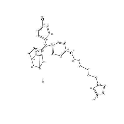 C[n+]1ccn(CCCCCCOc2ccc(C(=C3C4CC5CC(C4)CC3C5)c3ccc(Cl)cc3)cc2)c1.[I-]